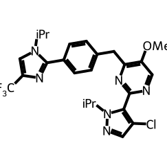 COc1cnc(-c2c(Cl)cnn2C(C)C)nc1Cc1ccc(-c2nc(C(F)(F)F)cn2C(C)C)cc1